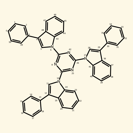 c1ccc(-c2cn(-c3nc(-n4cc(-c5ccccc5)c5ccccc54)nc(-n4cc(-c5ccccc5)c5ccccc54)n3)c3ccccc23)cc1